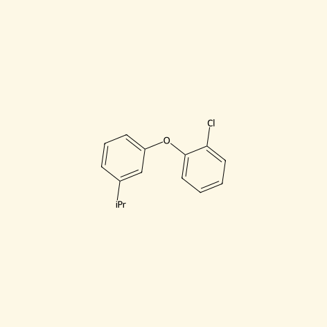 CC(C)c1cccc(Oc2ccccc2Cl)c1